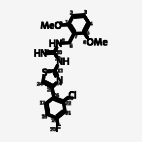 COc1cccc(OC)c1CNC(=N)Nc1nc(-c2ccc(F)cc2Cl)cs1